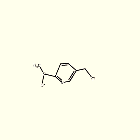 C[S+]([O-])c1ccc(CCl)cn1